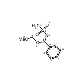 COCOC([N]S(C)(=O)=O)c1ccccc1